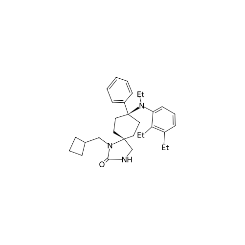 CCc1cccc(N(CC)[C@]2(c3ccccc3)CC[C@@]3(CC2)CNC(=O)N3CC2CCC2)c1CC